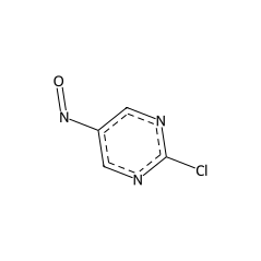 O=Nc1cnc(Cl)nc1